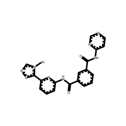 CC(C)n1cnnc1-c1cccc(NC(=O)c2cccc(C(=O)Nc3ccncn3)c2)n1